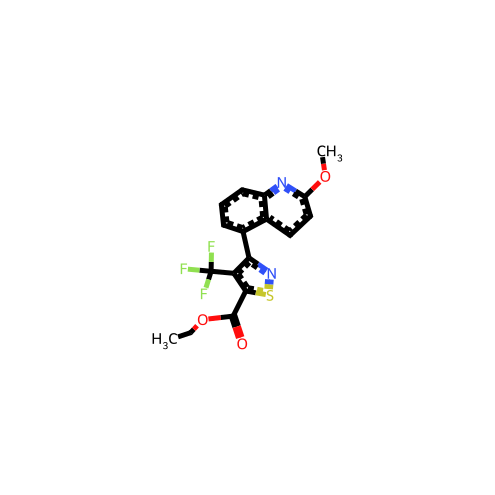 CCOC(=O)c1snc(-c2cccc3nc(OC)ccc23)c1C(F)(F)F